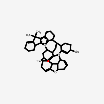 CC1(C)C2=CCCCC2c2c1c1c3n2C2CC(C(C)(C)C)C=C4C2CC(C2CCC(C(C)(C)C)C=C2N4C2C=CCC4OC5=CCCCC5C42)C3CCC1